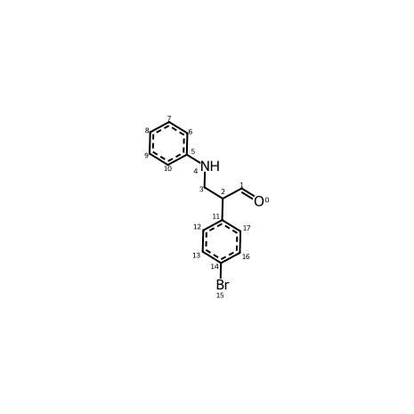 O=CC(CNc1ccccc1)c1ccc(Br)cc1